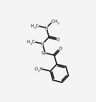 CN(C)C(=O)N(C)[Se]C(=O)c1ccccc1[N+](=O)[O-]